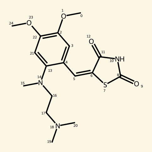 COc1cc(C=C2SC(=O)NC2=O)c(N(C)CCN(C)C)cc1OC